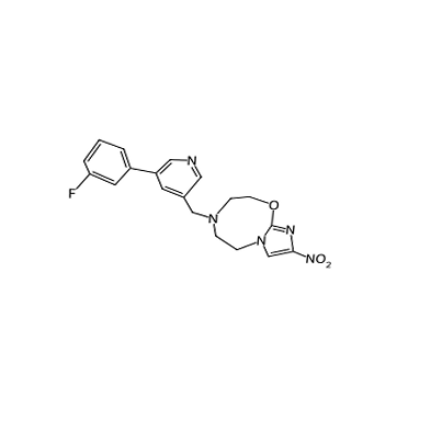 O=[N+]([O-])c1cn2c(n1)OCCN(Cc1cncc(-c3cccc(F)c3)c1)CC2